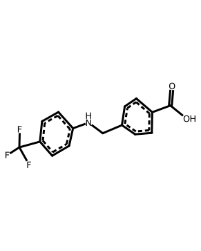 O=C(O)c1ccc(CNc2ccc(C(F)(F)F)cc2)cc1